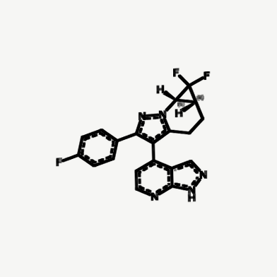 Fc1ccc(-c2nn3c(c2-c2ccnc4[nH]ncc24)CC[C@@H]2[C@H]3C2(F)F)cc1